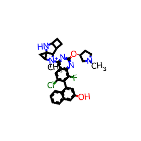 CN1CC[C@@H](Oc2nc([N@+]3(C)C4CC45NC4CCC4C53)c3cc(Cl)c(-c4cc(O)cc5ccccc45)c(F)c3n2)C1